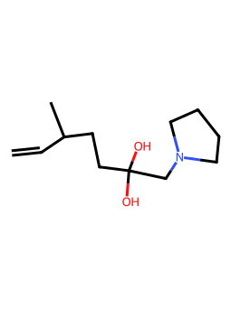 C=CC(C)CCC(O)(O)CN1CCCC1